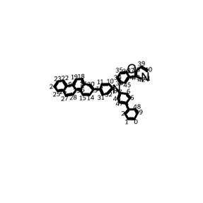 c1ccc(-c2ccc(N(c3ccc(-c4ccc5c(ccc6c7ccccc7ccc56)c4)cc3)c3ccc4oc5ccncc5c4c3)cc2)cc1